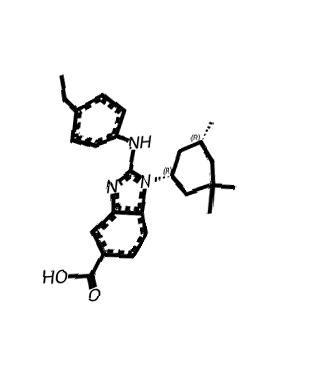 CCc1ccc(Nc2nc3cc(C(=O)O)ccc3n2[C@@H]2C[C@H](C)CC(C)(C)C2)cc1